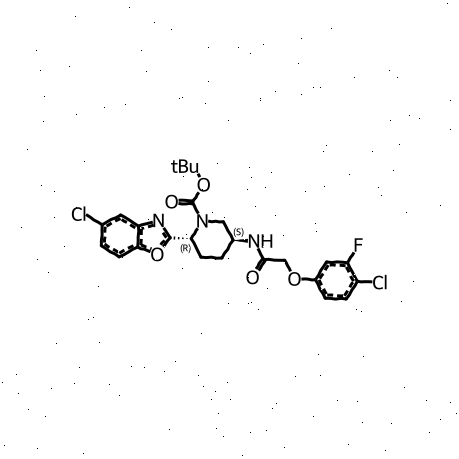 CC(C)(C)OC(=O)N1C[C@@H](NC(=O)COc2ccc(Cl)c(F)c2)CC[C@@H]1c1nc2cc(Cl)ccc2o1